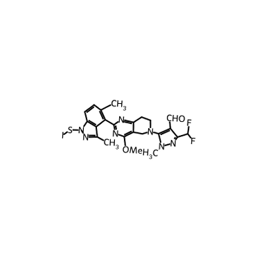 COc1nc(-c2c(C)ccc3c2c(C)nn3SI)nc2c1CN(c1c(C=O)c(C(F)F)nn1C)CC2